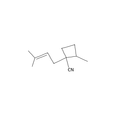 CC(C)=CCC1(C#N)CCC1C